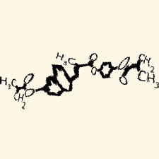 C=C(C)C(=O)Oc1ccc(OC(=O)/C(C)=C/c2ccc3cc(OC(=O)C(=C)C)ccc3c2)cc1